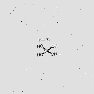 O[Si](O)(O)O.[LiH].[Zr]